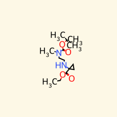 CCOC(=O)C1(NCCN(C)C(=O)OC(C)(C)C)CC1